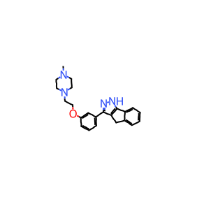 CN1CCN(CCOc2cccc(-c3n[nH]c4c3Cc3ccccc3-4)c2)CC1